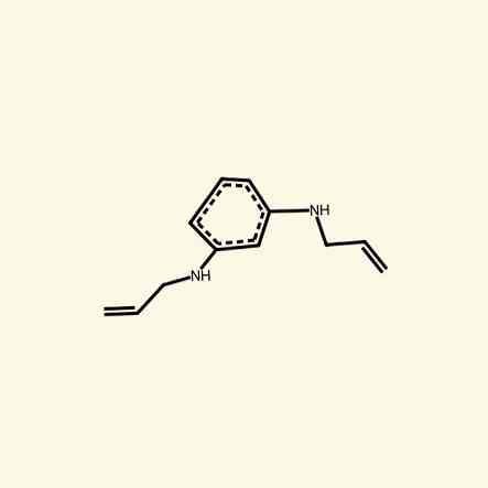 C=CCNc1cccc(NCC=C)c1